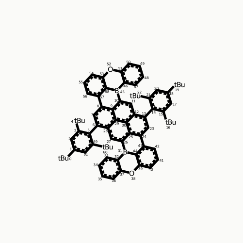 CC(C)(C)c1cc(C(C)(C)C)c(-c2cc3c4c(cc5c(-c6c(C(C)(C)C)cc(C(C)(C)C)cc6C(C)(C)C)cc6c7c(cc2c4c57)B2c4ccccc4Oc4cccc-6c42)B2c4ccccc4Oc4cccc-3c42)c(C(C)(C)C)c1